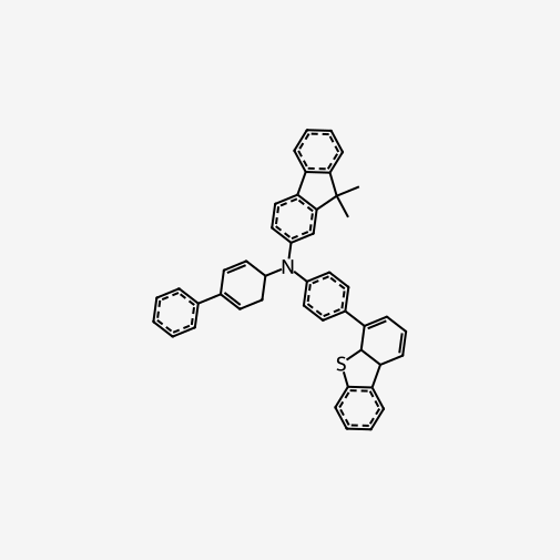 CC1(C)c2ccccc2-c2ccc(N(c3ccc(C4=CC=CC5c6ccccc6SC45)cc3)C3C=CC(c4ccccc4)=CC3)cc21